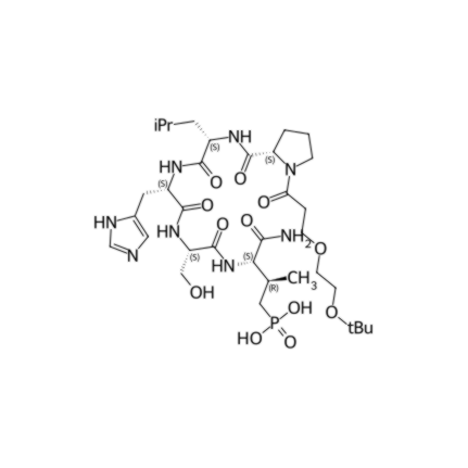 CC(C)C[C@H](NC(=O)[C@@H]1CCCN1C(=O)CCOCCOC(C)(C)C)C(=O)N[C@@H](Cc1cnc[nH]1)C(=O)N[C@@H](CO)C(=O)N[C@H](C(N)=O)[C@@H](C)CP(=O)(O)O